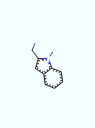 CCn1c(CN)cc2ccccc21